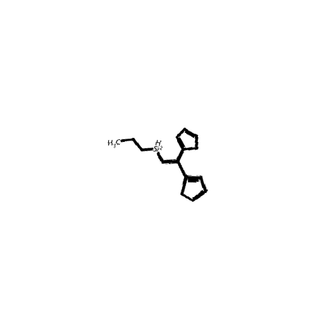 CCC[SiH2]CC(C1=CC=CC1)C1=CC=CC1